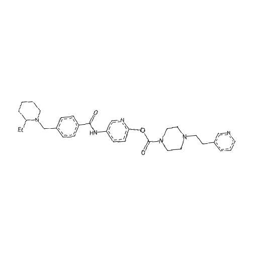 CCC1CCCCN1Cc1ccc(C(=O)Nc2ccc(OC(=O)N3CCN(CCc4cccnc4)CC3)nc2)cc1